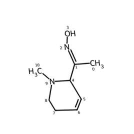 CC(=NO)C1C=CCCN1C